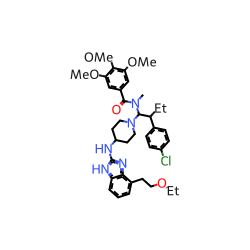 CCOCCc1cccc2[nH]c(NC3CCN(C(C(CC)c4ccc(Cl)cc4)N(C)C(=O)c4cc(OC)c(OC)c(OC)c4)CC3)nc12